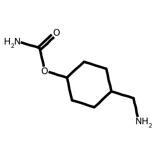 NCC1CCC(OC(N)=O)CC1